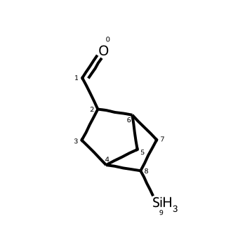 O=CC1CC2CC1CC2[SiH3]